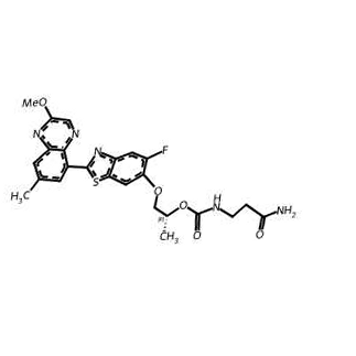 COc1cnc2c(-c3nc4cc(F)c(OC[C@@H](C)OC(=O)NCCC(N)=O)cc4s3)cc(C)cc2n1